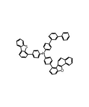 c1ccc(-c2cccc(-c3ccc(N(c4ccc(-c5cccc6c5sc5ccccc56)cc4)c4ccc(-c5cccc6oc7c8ccccc8ccc7c56)cc4)cc3)c2)cc1